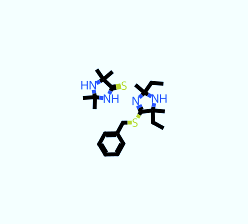 CC1(C)NC(=S)C(C)(C)N1.CCC1(C)N=C(SCc2ccccc2)C(C)(CC)N1